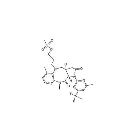 Cc1cc(C(F)(F)F)cc(N2C(=O)C[C@@H]3CN(CCCOS(C)(=O)=O)c4c(C)cccc4N(C)C(=O)[C@H]32)n1